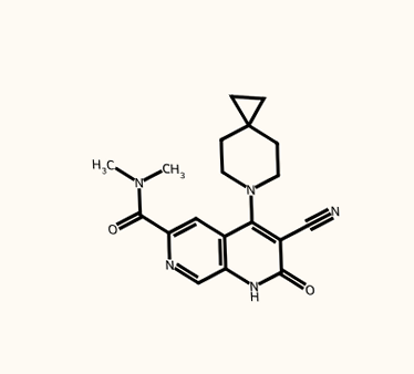 CN(C)C(=O)c1cc2c(N3CCC4(CC3)CC4)c(C#N)c(=O)[nH]c2cn1